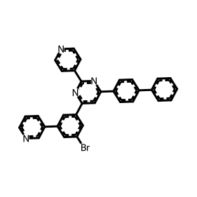 Brc1cc(-c2cccnc2)cc(-c2cc(-c3ccc(-c4ccccc4)cc3)nc(-c3ccncc3)n2)c1